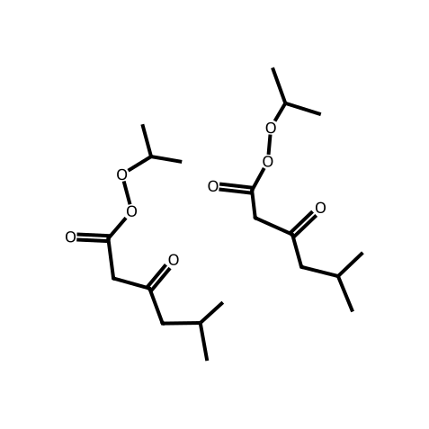 CC(C)CC(=O)CC(=O)OOC(C)C.CC(C)CC(=O)CC(=O)OOC(C)C